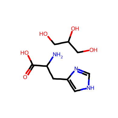 NC(Cc1c[nH]cn1)C(=O)O.OCC(O)CO